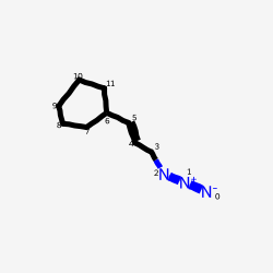 [N-]=[N+]=NCC=CC1CCCCC1